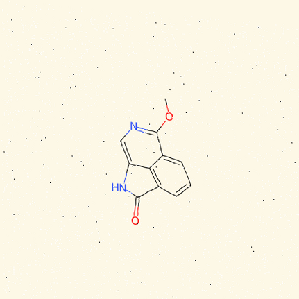 COc1ncc2c3c(cccc13)C(=O)N2